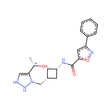 C[C@H](O)C1=CNNN1C[C@H]1C[C@@H](NC(=O)c2cc(-c3ccccc3)no2)C1